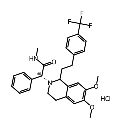 CNC(=O)[C@@H](c1ccccc1)N1CCc2cc(OC)c(OC)cc2C1CCc1ccc(C(F)(F)F)cc1.Cl